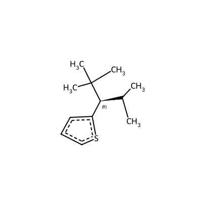 CC(C)[C@@H](c1cccs1)C(C)(C)C